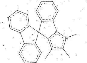 Cc1c2c(n(C)c1C)-c1ccccc1C21c2ccccc2-c2ccccc21